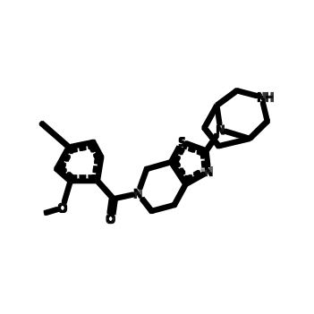 COc1cc(C)ccc1C(=O)N1CCc2nc(N3C4CCC3CNC4)sc2C1